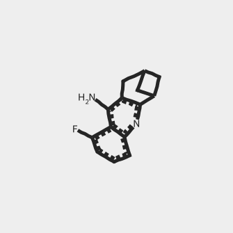 Nc1c2c(nc3cccc(F)c13)C1CC(C2)C1